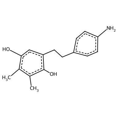 Cc1c(O)cc(CCc2ccc(N)cc2)c(O)c1C